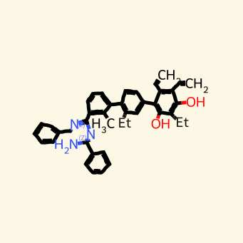 C=Cc1c(O)c(CC)c(O)c(-c2ccc(-c3cccc(C(/N=C(\N)c4ccccc4)=N/Cc4ccccc4)c3C)c(CC)c2)c1C=C